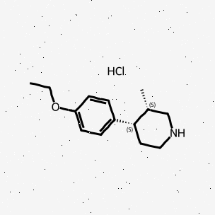 CCOc1ccc([C@H]2CCNC[C@H]2C)cc1.Cl